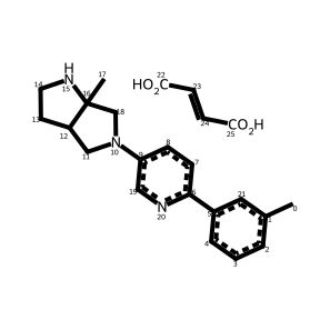 Cc1cccc(-c2ccc(N3CC4CCNC4(C)C3)cn2)c1.O=C(O)/C=C/C(=O)O